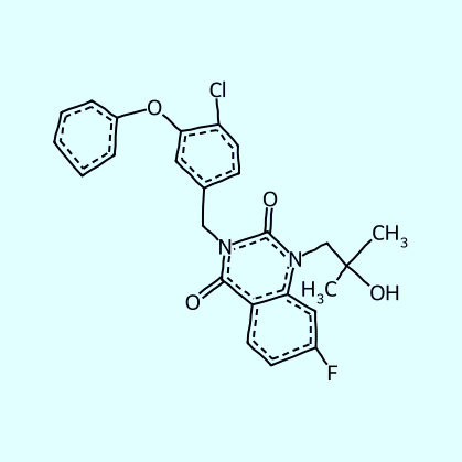 CC(C)(O)Cn1c(=O)n(Cc2ccc(Cl)c(Oc3ccccc3)c2)c(=O)c2ccc(F)cc21